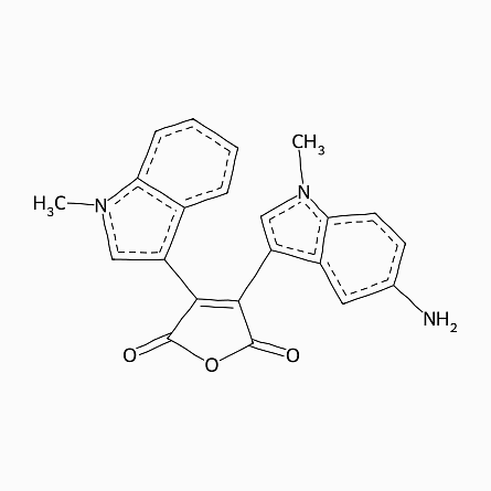 Cn1cc(C2=C(c3cn(C)c4ccc(N)cc34)C(=O)OC2=O)c2ccccc21